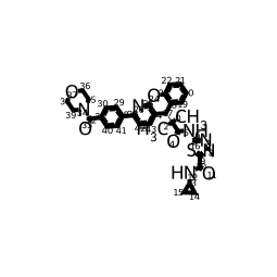 CC(C)(C(=O)Nc1nnc(C(=O)NC2CC2)s1)[C@H]1c2ccccc2Oc2nc(-c3ccc(C(=O)N4CCOCC4)cc3)ccc21